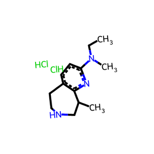 CCN(C)c1ccc2c(n1)C(C)CNCC2.Cl.Cl